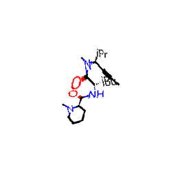 CC#C[C@H](C(C)C)N(C)C(=O)[C@@H](NC(=O)[C@H]1CCCCN1C)[C@@H](C)CC